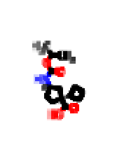 C=C(C)OC(=O)N[C@@H]1CC[C@@](C(=O)O)(C2CCC2)C1